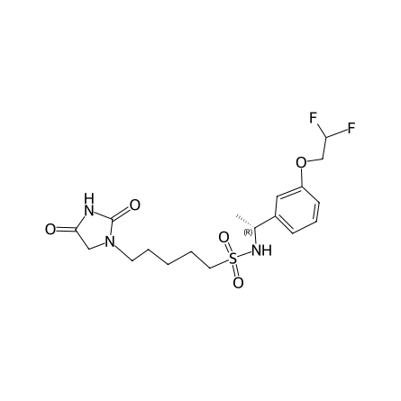 C[C@@H](NS(=O)(=O)CCCCCN1CC(=O)NC1=O)c1cccc(OCC(F)F)c1